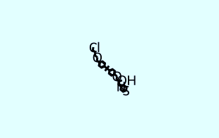 CC(C)(c1ccc(COCCCCl)cc1)c1ccc(OCC(O)CN2CCSCC2)cc1